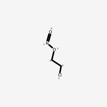 O=NOCCCl